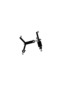 CC(=O)[O-].C[N+]#N